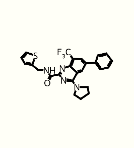 O=C(NCc1cccs1)c1nc(N2CCCC2)c2cc(-c3ccccc3)cc(C(F)(F)F)c2n1